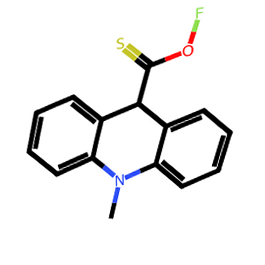 CN1c2ccccc2C(C(=S)OF)c2ccccc21